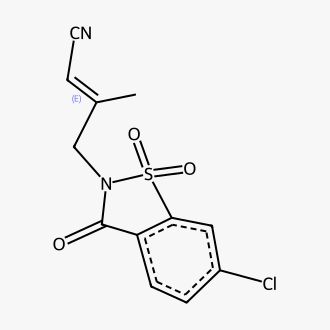 C/C(=C\C#N)CN1C(=O)c2ccc(Cl)cc2S1(=O)=O